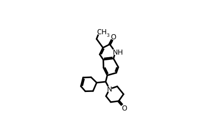 CCc1cc2cc(C(C3CC=CCC3)N3CCC(=O)CC3)ccc2[nH]c1=O